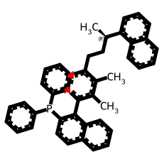 Cc1c(CC[C@@H](C)c2cccc3ccccc23)nnc(-c2c(P(c3ccccc3)c3ccccc3)ccc3ccccc23)c1C